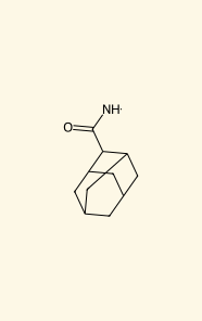 [NH]C(=O)C1C2CC3CC(C2)CC1C3